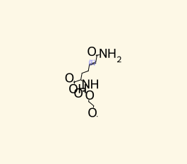 COCCOC(=O)NC(CC/C=C/C(N)=O)C(=O)O